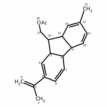 C=C(C)C1=CC2C(C=C1)C1C=CC(C)=CC1C2COC(C)=O